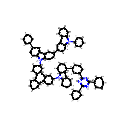 c1ccc(-c2ccc3c(c2)c2cc(-c4ccc5c(c4)c4ccccc4n5-c4ccccc4)ccc2n3-c2ccc3c4ccccc4c4ccc(-n5c6ccccc6c6c(-c7cccc(-c8nc(-c9ccccc9)nc(-c9ccccc9)n8)c7)cccc65)cc4c3c2)cc1